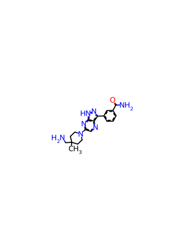 CC1(CN)CCN(c2cnc3c(-c4cccc(C(N)=O)c4)n[nH]c3n2)CC1